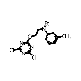 CCN(CCOc1nc(Cl)nc(Cl)n1)c1cccc(C)c1